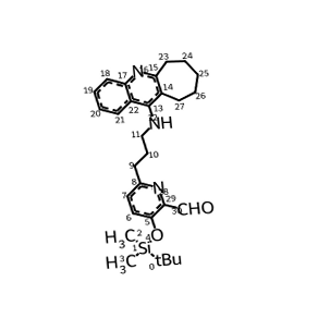 CC(C)(C)[Si](C)(C)Oc1ccc(CCCNc2c3c(nc4ccccc24)CCCCC3)nc1C=O